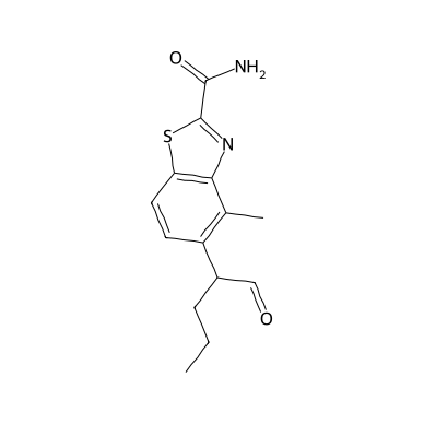 CCCC(C=O)c1ccc2sc(C(N)=O)nc2c1C